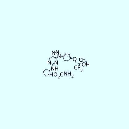 NC(=O)O.OC(COc1ccc(-n2nnc3cnc(NC4CCCC4)nc32)cc1)(C(F)(F)F)C(F)(F)F